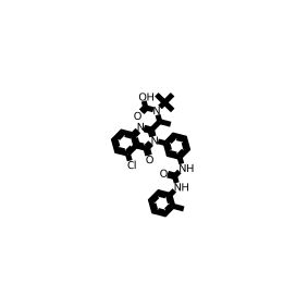 Cc1ccccc1NC(=O)Nc1cccc(-n2c(C(C)N(C(=O)O)C(C)(C)C)nc3cccc(Cl)c3c2=O)c1